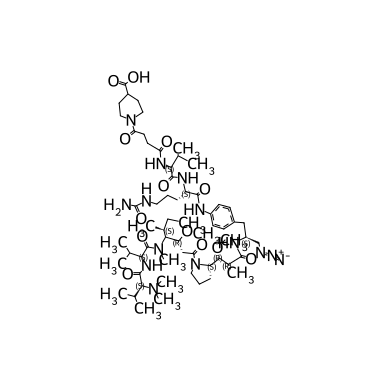 CC[C@H](C)C([C@@H](CC(=O)N1CCC[C@H]1[C@H](OC)[C@@H](C)C(=O)N[C@H](CN=[N+]=[N-])Cc1ccc(NC(=O)[C@H](CCCNC(N)=O)NC(=O)[C@@H](NC(=O)CCC(=O)N2CCC(C(=O)O)CC2)C(C)C)cc1)OC)N(C)C(=O)[C@@H](NC(=O)[C@H](C(C)C)N(C)C)C(C)C